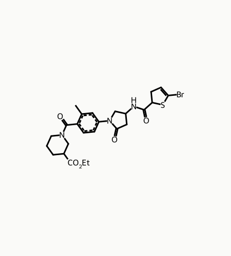 CCOC(=O)C1CCCN(C(=O)c2ccc(N3CC(NC(=O)C4CC=C(Br)S4)CC3=O)cc2C)C1